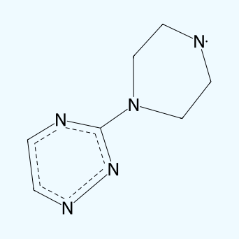 c1cnc(N2CC[N]CC2)nn1